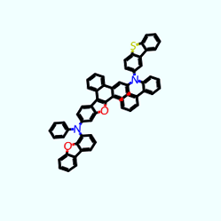 c1ccc(-c2ccccc2N(c2ccc3sc4ccccc4c3c2)c2ccc3c(c2)c2ccccc2c2c4ccc(N(c5ccccc5)c5cccc6c5oc5ccccc56)cc4oc32)cc1